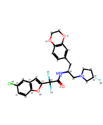 O=C(N[C@@H](Cc1ccc2c(c1)OCCO2)CN1CC[C@H](F)C1)C(F)(F)c1cc2cc(Cl)ccc2o1